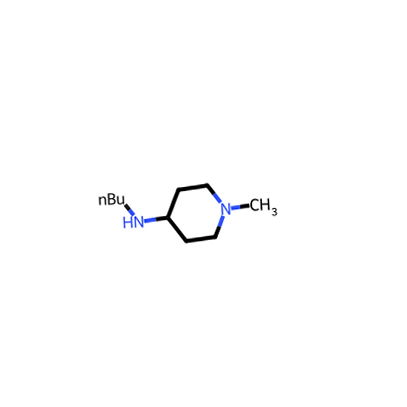 [CH2]CCCNC1CCN(C)CC1